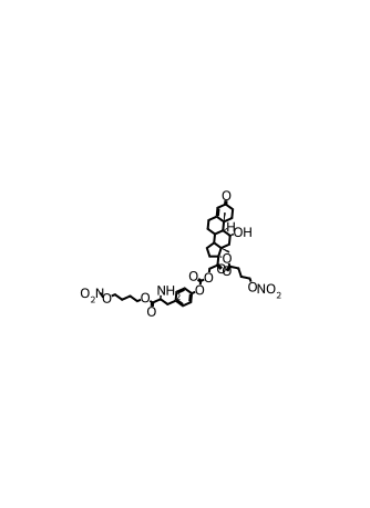 C[C@]12CCC(=O)C=C1CCC1C3CC[C@](OC(=O)CCCO[N+](=O)[O-])(C(=O)COC(=O)Oc4ccc(C[C@H](N)C(=O)OCCCCO[N+](=O)[O-])cc4)[C@@]3(C)C[C@H](O)[C@@H]12